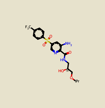 CC(C)OC[C@@H](O)CNC(=O)c1ncc(S(=O)(=O)c2ccc(C(F)(F)F)cc2)cc1N